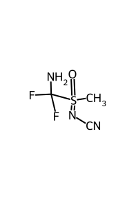 CS(=O)(=NC#N)C(N)(F)F